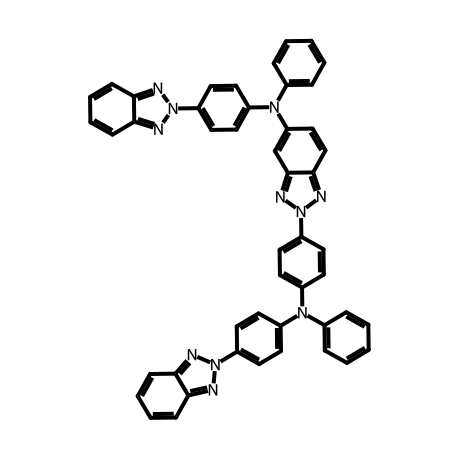 c1ccc(N(c2ccc(-n3nc4ccccc4n3)cc2)c2ccc(-n3nc4ccc(N(c5ccccc5)c5ccc(-n6nc7ccccc7n6)cc5)cc4n3)cc2)cc1